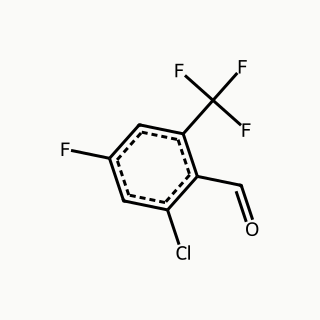 O=Cc1c(Cl)cc(F)cc1C(F)(F)F